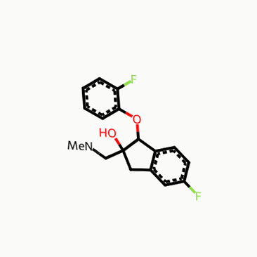 CNCC1(O)Cc2cc(F)ccc2C1Oc1ccccc1F